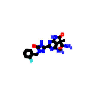 CC1(C(N)=O)C(=O)Nc2nc(-c3nn(Cc4ccccc4F)c(=O)[nH]3)nc(N)c21